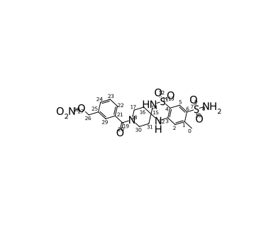 Cc1cc2c(cc1S(N)(=O)=O)S(=O)(=O)NC1(CCN(C(=O)c3cccc(CO[N+](=O)[O-])c3)CC1)N2